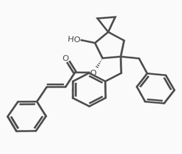 O=C(/C=C/c1ccccc1)O[C@@H]1C(O)C2(CC2)CC1(Cc1ccccc1)Cc1ccccc1